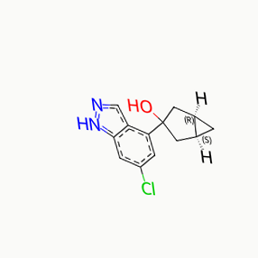 OC1(c2cc(Cl)cc3[nH]ncc23)C[C@H]2C[C@H]2C1